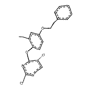 Cc1cc(OCc2ccccc2)ccc1Oc1nc(Cl)ncc1Cl